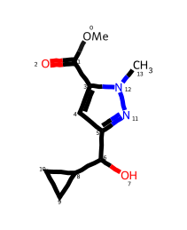 COC(=O)c1cc(C(O)C2CC2)nn1C